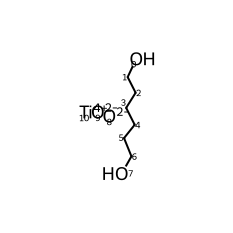 OCCCCCCO.[O-2].[O-2].[Ti+4]